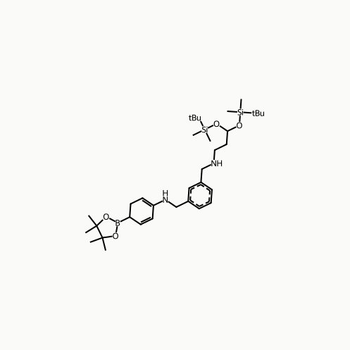 CC1(C)OB(C2C=CC(NCc3cccc(CNCCC(O[Si](C)(C)C(C)(C)C)O[Si](C)(C)C(C)(C)C)c3)=CC2)OC1(C)C